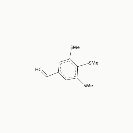 [CH]=Cc1cc(SC)c(SC)c(SC)c1